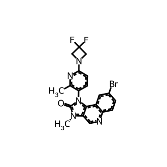 Cc1nc(N2CC(F)(F)C2)ccc1-n1c(=O)n(C)c2cnc3ccc(Br)cc3c21